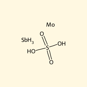 O=S(=O)(O)O.[Mo].[SbH3]